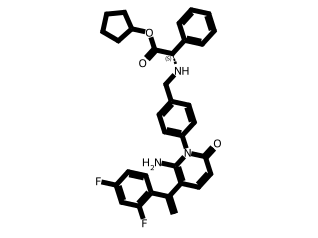 C=C(c1ccc(F)cc1F)c1ccc(=O)n(-c2ccc(CN[C@H](C(=O)OC3CCCC3)c3ccccc3)cc2)c1N